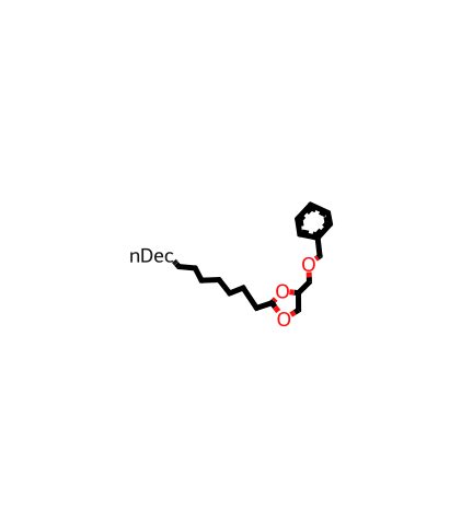 CCCCCCCCCCCCCCCCCC1OCC(COCc2ccccc2)O1